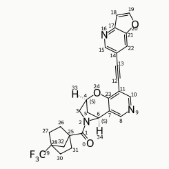 O=C(N1C[C@@H]2C[C@H]1c1cncc(C#Cc3cnc4ccoc4c3)c1O2)C12CCC(C(F)(F)F)(CC1)C2